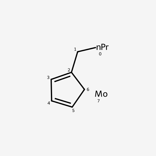 CCCCC1=CC=CC1.[Mo]